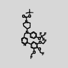 CC(C)(C)OC(=O)N1CCC(N(Cc2ccnc(-c3cc(OCF)c(OCF)c(OCF)c3)c2)c2ccc(OC(F)(F)F)cc2)CC1